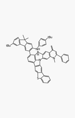 C=C1C=C(c2ccccc2)N(C)c2cc3c(cc21)Bc1c(-c2cc4c(cc2Nc2ccc(C(C)(C)C)cc2)C(C)(C)c2ccc(C(C)(C)C)cc2-4)ccc2c4cc5sc6ccccc6c5cc4n-3c12